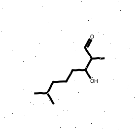 CC(C)CCCC(O)C(C)C=O